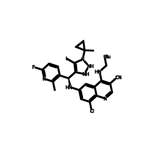 Cc1nc(F)ccc1[C@H](Nc1cc(Cl)c2ncc(C#N)c(NCC(C)(C)C)c2c1)C1=C(I)N(C2(C)CC2)NN1